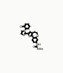 CNC(=O)Nc1ccc2c(c1)OCCc1cc(-c3nccn3-c3ccccc3Cl)sc1-2